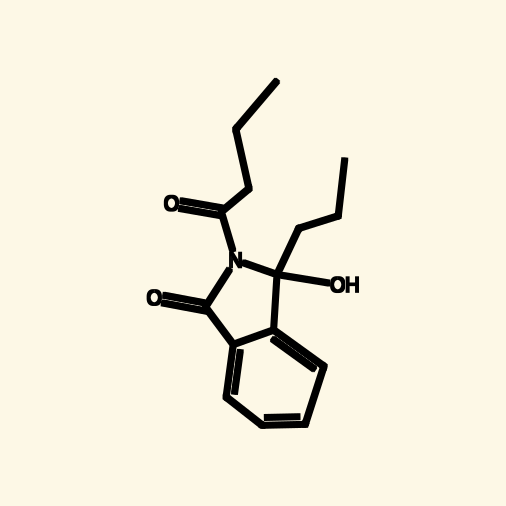 CCCC(=O)N1C(=O)c2ccccc2C1(O)CCC